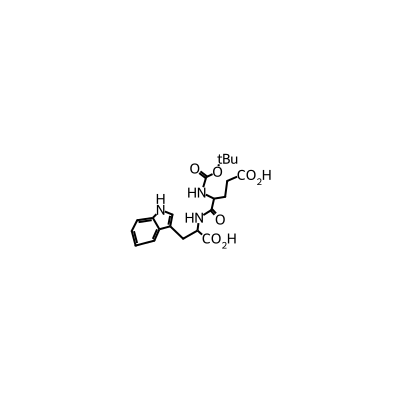 CC(C)(C)OC(=O)NC(CCC(=O)O)C(=O)NC(Cc1c[nH]c2ccccc12)C(=O)O